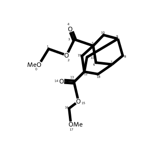 COCOC(=O)C12CC3CC(C1)CC(C(=O)OCOC)(C3)C2